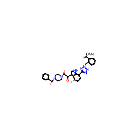 COC(=O)c1ccccc1Cn1nnc(-c2ccc(F)c3c(C(=O)C(=O)N4CCN(C(=O)c5ccccc5)CC4)c[nH]c23)n1